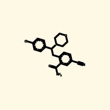 N#Cc1ccc(CC(c2ccc(Cl)cc2)N2CCOCC2)c(C(N)=O)c1